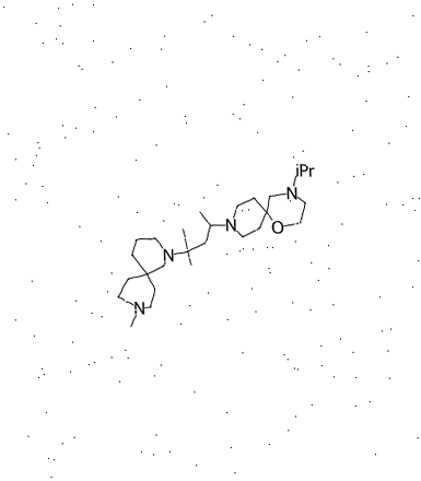 CC(C)N1CCOC2(CCN(C(C)CC(C)(C)N3CCCC4(CCN(C)CC4)C3)CC2)C1